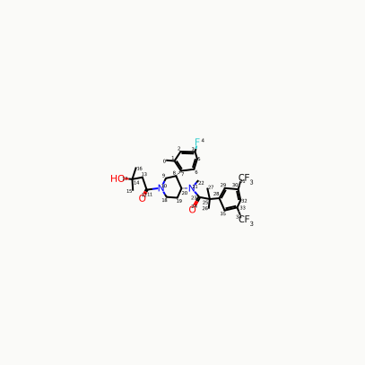 Cc1cc(F)ccc1[C@H]1CN(C(=O)CC(C)(C)O)CC[C@H]1N(C)C(=O)C(C)(C)c1cc(C(F)(F)F)cc(C(F)(F)F)c1